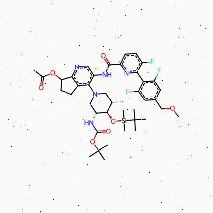 COCc1cc(F)c(-c2nc(C(=O)Nc3cnc4c(c3N3C[C@H](C)[C@@H](O[Si](C)(C)C(C)(C)C)[C@H](NC(=O)OC(C)(C)C)C3)CCC4OC(C)=O)ccc2F)c(F)c1